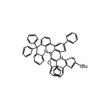 CC(C)(C)c1ccc(N2c3cc(-c4ccccc4)cc4c3B(c3oc5ccccc5c32)N2c3ccccc3C(c3ccccc3)(c3ccccc3)c3cccc-4c32)c(-c2ccccc2)c1